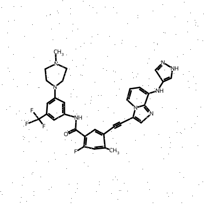 Cc1cc(F)c(C(=O)Nc2cc(N3CCN(C)CC3)cc(C(F)(F)F)c2)cc1C#Cc1cnc2c(Nc3cn[nH]c3)cccn12